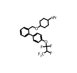 CCCC1CCC(OCc2ccccc2-c2ccc(OC(F)(F)C(F)C(F)(F)F)cc2)CC1